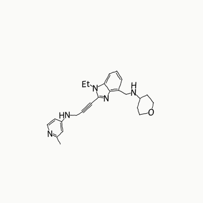 CCn1c(C#CCNc2ccnc(C)c2)nc2c(CNC3CCOCC3)cccc21